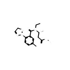 CCN(C(=O)c1cc(C)ccc1N1N=CCN1)[C@@H](C)CC(=O)ON